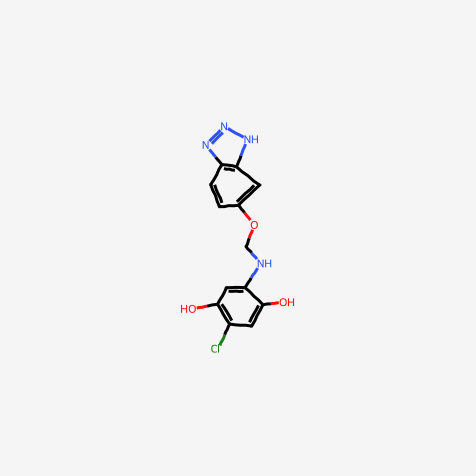 Oc1cc(NCOc2ccc3nn[nH]c3c2)c(O)cc1Cl